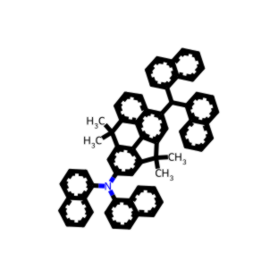 CC1(C)c2cc(N(c3cccc4ccccc34)c3cccc4ccccc34)cc3c2-c2c1cc(C(c1cccc4ccccc14)c1cccc4ccccc14)c1cccc(c21)C3(C)C